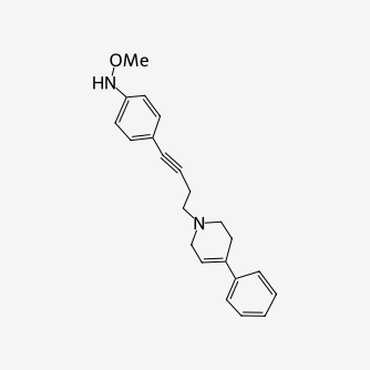 CONc1ccc(C#CCCN2CC=C(c3ccccc3)CC2)cc1